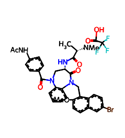 CN[C@@H](C)C(=O)N[C@H]1CN(C(=O)c2ccc(NC(C)=O)cc2)c2ccccc2N(Cc2c(OC)ccc3cc(Br)ccc23)C1=O.O=C(O)C(F)(F)F